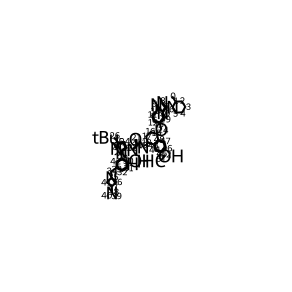 CC1CCCCN1c1nnc2ccc(O[C@@H]3CC[C@H](NC(=O)Nc4cc(C(C)(C)C)nn4-c4cccc(CN5CC(N(C)C)C5)c4)c4ccccc43)cn12.O=CO